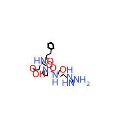 N=C(N)NCCC[C@@H](C=O)NC(=O)[C@@H]1CCCN1C(=O)[C@H](CCC(=O)O)NC(=O)CCc1ccccc1